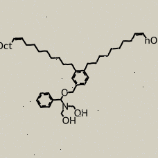 CCCCCCCC/C=C\CCCCCCCCc1ccc(COC(c2ccccc2)N(CO)CO)cc1CCCCCCCC/C=C\CCCCCCCC